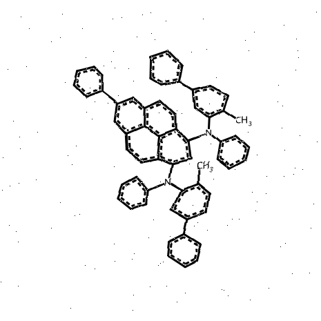 Cc1ccc(-c2ccccc2)cc1N(c1ccccc1)c1cc(N(c2ccccc2)c2cc(-c3ccccc3)ccc2C)c2ccc3cc(-c4ccccc4)cc4ccc1c2c43